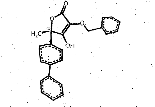 C[C@@]1(c2ccc(-c3ccccc3)cc2)OC(=O)C(OCc2ccccc2)=C1O